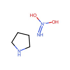 C1CCNC1.N=[N+](O)O